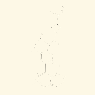 C=CC(=O)N1CC(C(C)N2C(=O)COc3cc(-c4cc(O)cc5ccccc45)c(Cl)cc32)C1